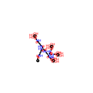 C[C@@H]1O[C@@H](OCCNC(=O)CCCCCNC(=O)[C@H](CCC(=O)NCCCC[C@@H](C(=O)NCCO[C@@H]2O[C@@H](C)[C@@H](O)[C@@H](O)[C@@H]2O)N(CC(=O)NCCO[C@@H]2O[C@@H](C)[C@@H](O)[C@@H](O)[C@@H]2O)CC(=O)NCCO[C@@H]2O[C@@H](C)[C@@H](O)[C@@H](O)[C@@H]2O)NC(=O)CCCCCNC(=O)OCc2ccccc2)[C@@H](O)[C@H](O)[C@@H]1O